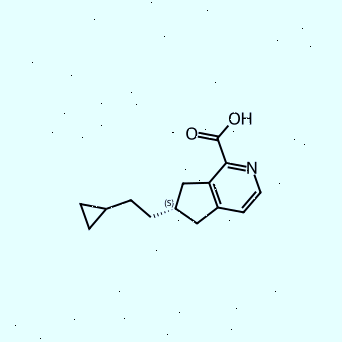 O=C(O)c1nccc2c1C[C@@H](CCC1CC1)C2